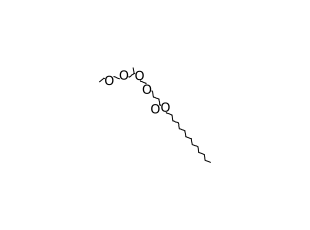 CCCCCCCCCCCCCCOC(=O)CCCOCCOC(C)COCCOCC